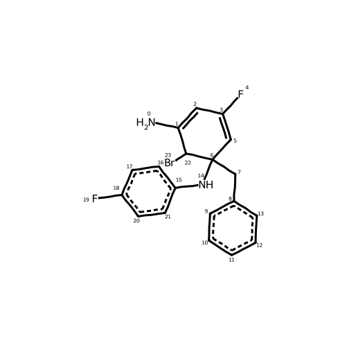 NC1=CC(F)=CC(Cc2ccccc2)(Nc2ccc(F)cc2)C1Br